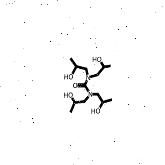 CC(O)CN(CC(C)O)C(=O)N(CC(C)O)CC(C)O